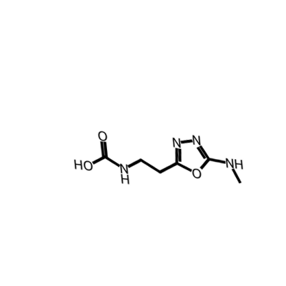 CNc1nnc(CCNC(=O)O)o1